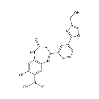 CCCN(c1cc2c(cc1Cl)NC(=O)CC(c1cccc(-c3nc(CO)co3)c1)=N2)C(C)C